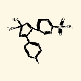 CC1(C(F)(F)F)C=C(c2ccc(F)cc2)C(c2ccc(S(C)(=O)=O)cc2)=C1